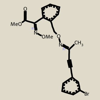 CO/N=C(/C(=O)OC)c1ccccc1CO/N=C(\C)C#Cc1cccc(Br)c1